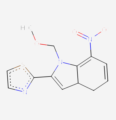 COCN1C(c2nccs2)=CC2CC=CC([N+](=O)[O-])=C21